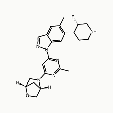 Cc1nc(N2C[C@@H]3C[C@H]2CO3)cc(-n2ncc3cc(C)c([C@H]4CCNC[C@H]4F)cc32)n1